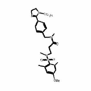 COc1cc(C)c(S(=O)(=O)N(C)CCC(=O)N(C)Cc2ccc(C3=NCCN3C(=O)O)cc2)c(C)c1